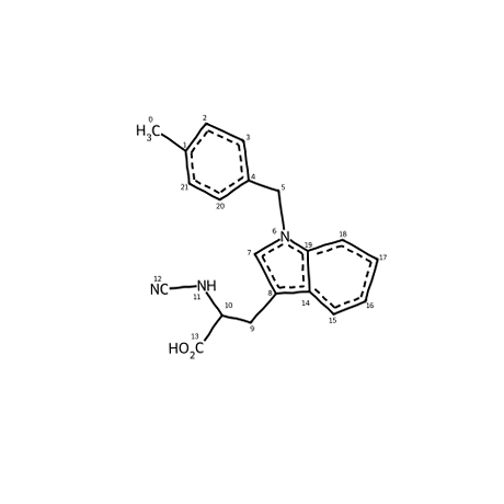 Cc1ccc(Cn2cc(CC(NC#N)C(=O)O)c3ccccc32)cc1